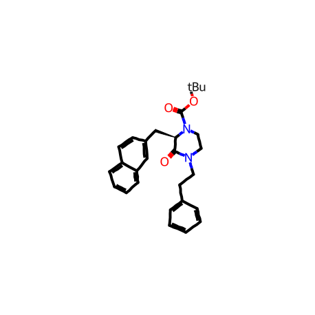 CC(C)(C)OC(=O)N1CCN(CCc2ccccc2)C(=O)[C@H]1Cc1ccc2ccccc2c1